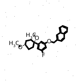 CO[C@H]1CC[C@](OC)(c2cc(F)cc(OCc3ccc4ccccc4c3)c2)CC1